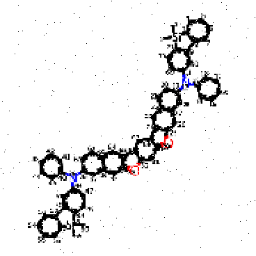 C[Si]1(C)c2ccccc2-c2cc(N(c3ccccc3)c3ccc4cc5c(cc4c3)oc3cc4oc6cc7cc(N(c8ccccc8)c8ccc9c(c8)-c8ccccc8[Si]9(C)C)ccc7cc6c4cc35)ccc21